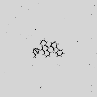 O=C1CC2C=CC1C(c1c3ccccc3c(-c3cccc4c3oc3ccccc34)c3ccccc13)=C2